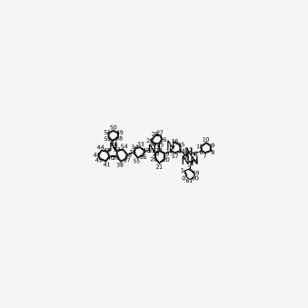 C1=CC(c2nc(-c3ccccc3)nc(-c3ccnc(-c4cccc5c4c4ccccc4n5-c4ccc(-c5ccc6c7ccccc7n(-c7ccccc7)c6c5)cc4)c3)n2)=CCC1